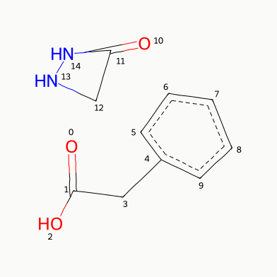 O=C(O)Cc1ccccc1.O=C1CNN1